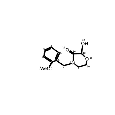 COc1ccccc1CN1CCOC(O)C1=O